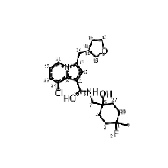 CC1(F)CCC(O)(CNC(O)c2cc(C[C@H]3CCOC3)n3cccc(Cl)c23)CC1